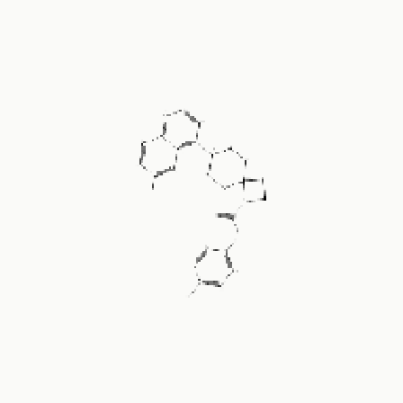 Cc1ccc(NC(=O)N2CCC23CCC(c2ccnc4ccc(F)cc24)CC3)cc1